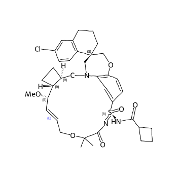 CO[C@H]1/C=C/COC(C)(C)C(=O)N=[S@](=O)(NC(=O)C2CCC2)c2ccc3c(c2)N(C[C@@H]2CC[C@H]21)C[C@@]1(CCCc2cc(Cl)ccc21)CO3